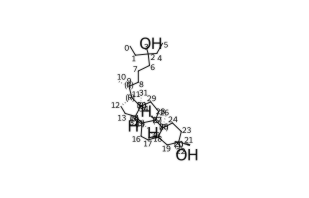 CCC(O)(CC)CCC[C@@H](C)[C@H]1CC[C@H]2[C@@H]3CC=C4C[C@@](C)(O)CC[C@]4(C)[C@H]3CC[C@]12C